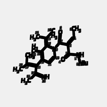 C/C=C(/C(=O)NCCCC)C(=O)N1C=CC(C(C(C)=N)=C(C)C)=C(C)C1=C(C)C